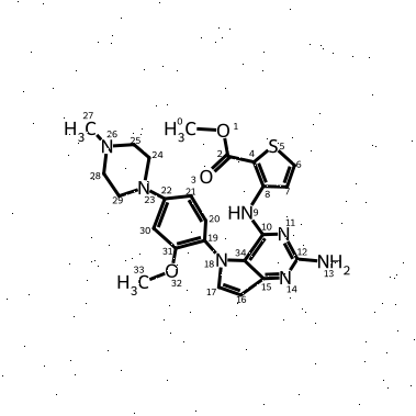 COC(=O)c1sccc1Nc1nc(N)nc2ccn(-c3ccc(N4CCN(C)CC4)cc3OC)c12